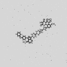 Cc1ccc(N2CC(N3CC4(CCC(N5CCC(n6nc(-c7ccc(Oc8ccccc8)cc7)c7c(N)ncnc76)CC5)CC4)C3)C2)cc1C(=O)N(C=O)C1CCC(=O)NC1=O